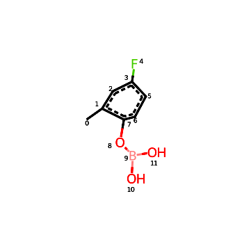 Cc1cc(F)ccc1OB(O)O